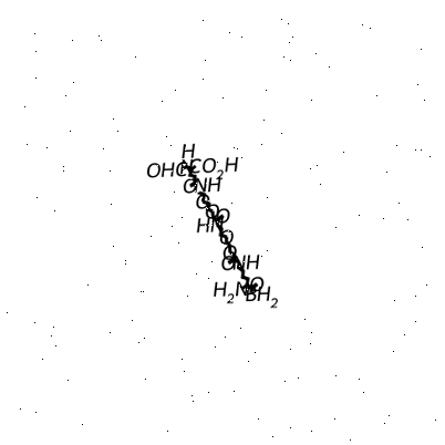 BC(=O)C(N)CCCCNC(=O)COCCOCCNC(=O)COCCOCCNC(=O)CCC(NC=O)C(=O)O